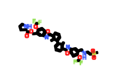 Cc1c(-c2nc3cc(CNCCS(C)(=O)=O)c(OC(F)F)cc3o2)cccc1-c1cccc(-c2nc3cc(COC(=O)[C@@H]4CCCN4)c(OC(F)F)cc3o2)c1C